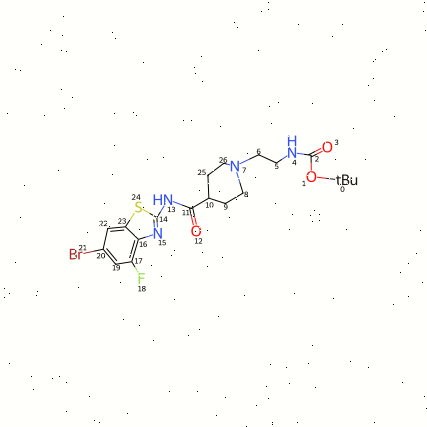 CC(C)(C)OC(=O)NCCN1CCC(C(=O)Nc2nc3c(F)cc(Br)cc3s2)CC1